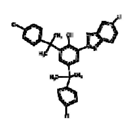 CC(C)(c1ccc(Cl)cc1)c1cc(-n2nc3ccc(Cl)cc3n2)c(O)c(C(C)(C)c2ccc(Cl)cc2)c1